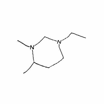 CCN1CCC(C)N(C)C1